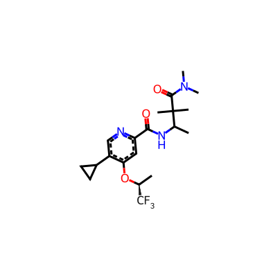 CC(NC(=O)c1cc(O[C@@H](C)C(F)(F)F)c(C2CC2)cn1)C(C)(C)C(=O)N(C)C